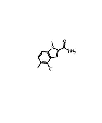 Cc1ccc2c(cc(C(N)=O)n2C)c1Cl